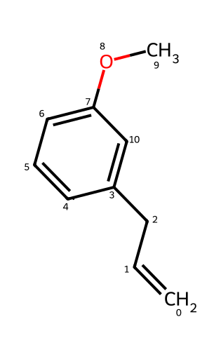 C=CCc1[c]ccc(OC)c1